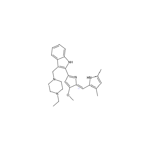 CCN1CCN(Cc2c(C3=N/C(=C\c4[nH]c(C)cc4C)C(OC)=C3)[nH]c3ccccc23)CC1